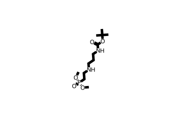 COP(=O)(CCNCCCNC(=O)OC(C)(C)C)OC